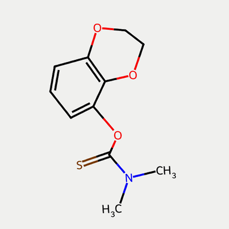 CN(C)C(=S)Oc1cccc2c1OCCO2